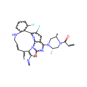 C=CC(=O)N1C[C@H](C)N(c2nc(=O)n3c4nc(c(F)cc24)-c2c(F)cccc2NC/C=C/C(=C/C)C/3=C(\N=C)C(C)C)C[C@H]1C